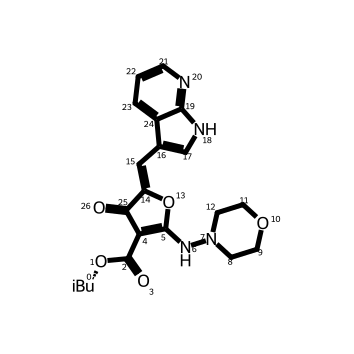 CC[C@@H](C)OC(=O)C1=C(NN2CCOCC2)O/C(=C\c2c[nH]c3ncccc23)C1=O